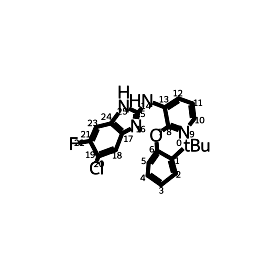 CC(C)(C)c1ccccc1Oc1ncccc1Nc1nc2cc(Cl)c(F)cc2[nH]1